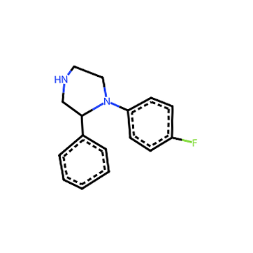 Fc1ccc(N2CCNCC2c2ccccc2)cc1